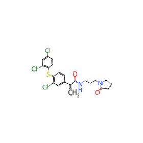 C=C(C(=O)NCCCN1CCCC1=O)c1ccc(Sc2ccc(Cl)cc2Cl)c(Cl)c1